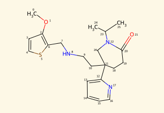 COc1ccsc1CNCCC1(c2ccccn2)CCC(=O)N(C(C)C)C1